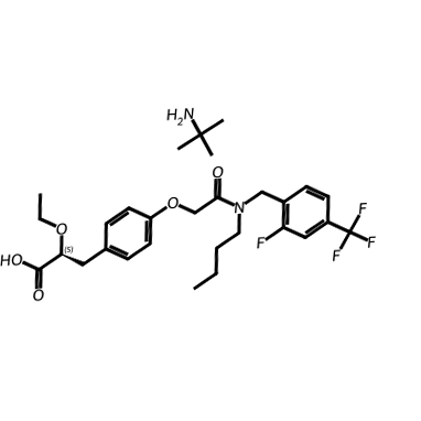 CC(C)(C)N.CCCCN(Cc1ccc(C(F)(F)F)cc1F)C(=O)COc1ccc(C[C@H](OCC)C(=O)O)cc1